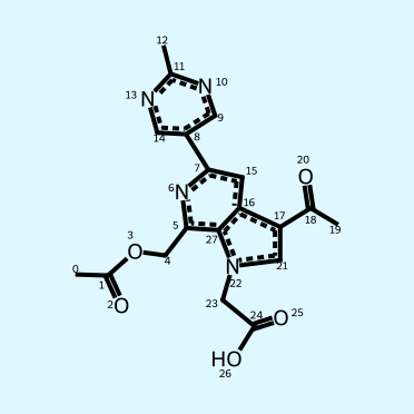 CC(=O)OCc1nc(-c2cnc(C)nc2)cc2c(C(C)=O)cn(CC(=O)O)c12